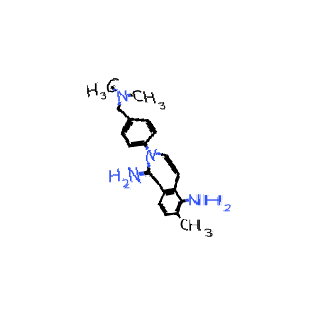 Cc1ccc2c(c1N)C=CN(c1ccc(CN(C)C)cc1)C2N